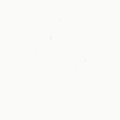 C=CCCC(=C)C(=O)O.CC(=CC1CC2CCC1(C)C2(C)C)C(=O)O